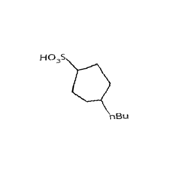 CCCCC1CCC(S(=O)(=O)O)CC1